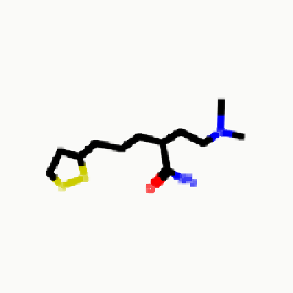 CN(C)CCC(CCCC1CCSS1)C(N)=O